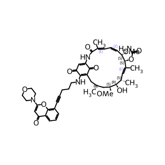 CO[C@H]1/C=C\C=C(/C)C(=O)NC2=CC(=O)C(NCCCC#Cc3cccc4c(=O)cc(N5CCOCC5)oc34)=C(C[C@@H](C)C[C@H](OC)[C@H](O)[C@@H](C)/C=C(\C)[C@@H]1OC(N)=O)C2=O